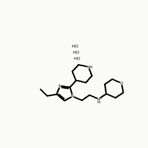 CCc1cn(CCNC2CCOCC2)c(C2CCNCC2)n1.Cl.Cl.Cl